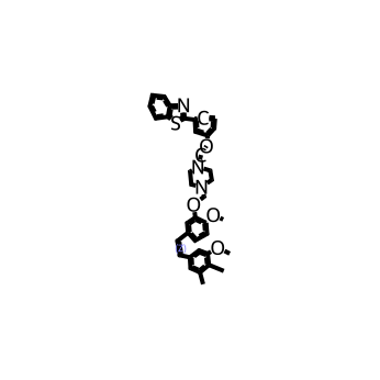 COc1ccc(/C=C\c2cc(C)c(C)c(OC)c2)cc1OCN1CCN(COc2cccc(-c3nc4ccccc4s3)c2)CC1